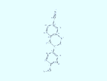 COc1ccc(C2CSc3cc(C#N)ccc3O2)cn1